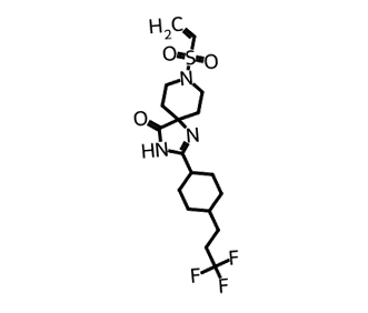 C=CS(=O)(=O)N1CCC2(CC1)N=C(C1CCC(CCC(F)(F)F)CC1)NC2=O